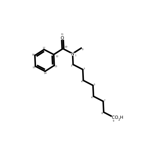 CN(CCCCCCCC(=O)O)C(=O)c1ccccc1